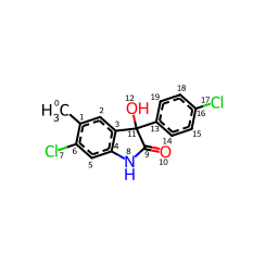 Cc1cc2c(cc1Cl)NC(=O)C2(O)c1ccc(Cl)cc1